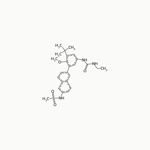 CCNC(=O)Nc1cc(-c2ccc3cc(NS(C)(=O)=O)ccc3c2)c(OC)c(C(C)(C)C)c1